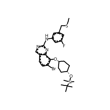 CSCc1cc(F)cc(Nc2ncc3ccc(Br)c(O[C@H]4CC[C@@H](O[Si](C)(C)C(C)(C)C)CC4)c3n2)c1